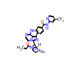 C=CC(=O)N1C2C[C@@H](C1c1nc(-c3ccc(C(=O)Nc4cc(C(F)(F)F)ccn4)cc3)c3c(N)nccn13)N(C(C)=O)C2